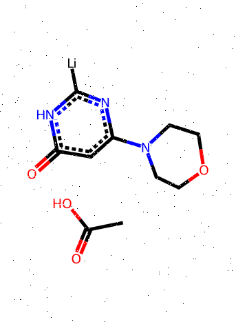 CC(=O)O.[Li][c]1nc(N2CCOCC2)cc(=O)[nH]1